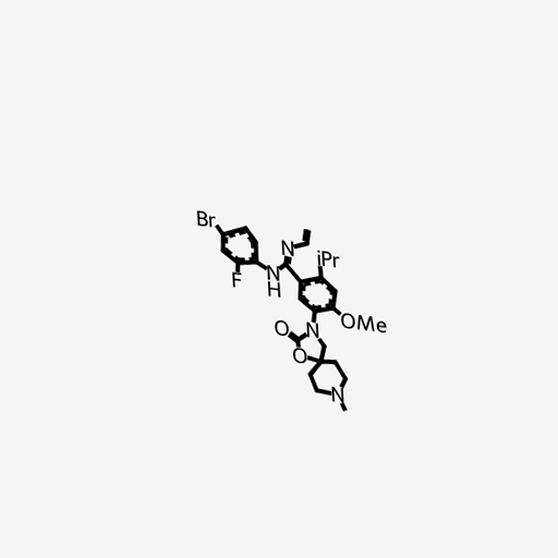 C=C/N=C(/Nc1ccc(Br)cc1F)c1cc(N2CC3(CCN(C)CC3)OC2=O)c(OC)cc1C(C)C